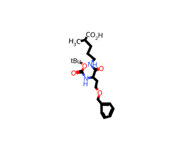 CC(CCCNC(=O)C(CCOCc1ccccc1)NC(=O)OC(C)(C)C)C(=O)O